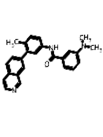 Cc1ccc(NC(=O)c2cccc(N(C)C)c2)cc1-c1ccc2ccncc2c1